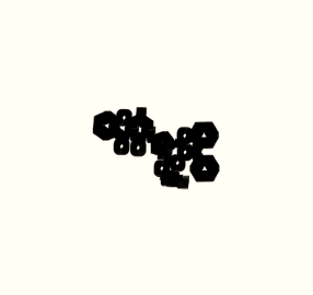 Cc1cn(C2C[C@@H](C(=O)OC(c3ccccc3)c3ccccc3)N(C(=O)OC(C)(C)C)C2)c(=O)n(C(=O)c2ccccc2)c1=O